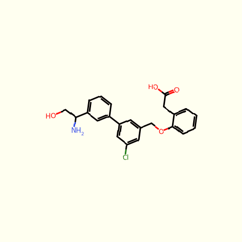 NC(CO)c1cccc(-c2cc(Cl)cc(COc3ccccc3CC(=O)O)c2)c1